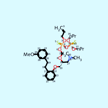 C=CCOP(=S)(OCO[C@@H](COc1ccccc1CCc1cccc(OC)c1)CN(C)C)OP(=S)(OCCC)OCCC